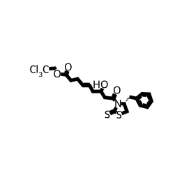 O=C(CC/C=C/CC(O)CC(=O)N1C(=S)SC[C@H]1Cc1ccccc1)OCC(Cl)(Cl)Cl